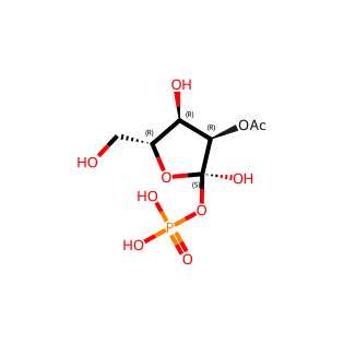 CC(=O)O[C@@H]1[C@H](O)[C@@H](CO)O[C@]1(O)OP(=O)(O)O